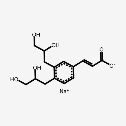 O=C([O-])C=Cc1ccc(CC(O)CO)c(CC(O)CO)c1.[Na+]